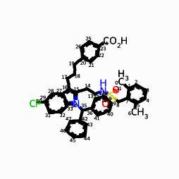 Cc1cccc(C)c1CS(=O)(=O)NCCc1c(CCCc2ccc(C(=O)O)cc2)c2cc(Cl)ccc2n1C(c1ccccc1)c1ccccc1